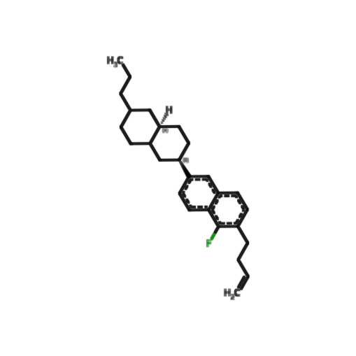 C=CCCc1ccc2cc([C@@H]3CC[C@@H]4CC(CCC)CCC4C3)ccc2c1F